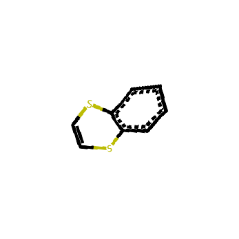 C1=CSc2ccccc2S1